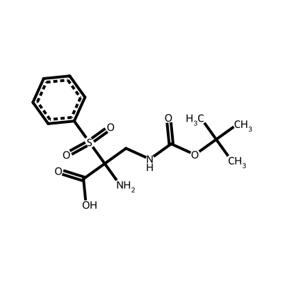 CC(C)(C)OC(=O)NCC(N)(C(=O)O)S(=O)(=O)c1ccccc1